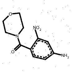 Nc1ccc(C(=O)N2CCOCC2)c([N+](=O)[O-])c1